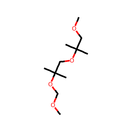 COCOC(C)(C)COC(C)(C)COC